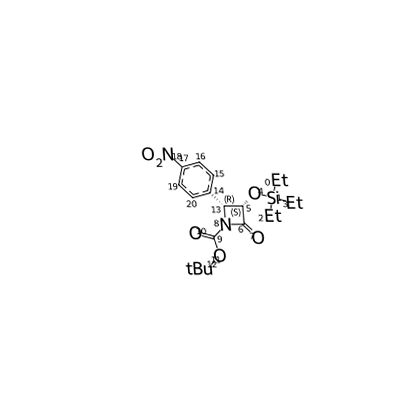 CC[Si](CC)(CC)O[C@@H]1C(=O)N(C(=O)OC(C)(C)C)[C@@H]1c1ccc([N+](=O)[O-])cc1